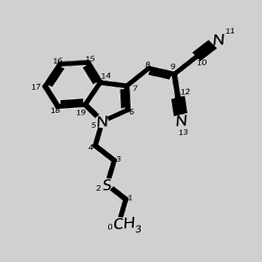 CCSCCn1cc(C=C(C#N)C#N)c2ccccc21